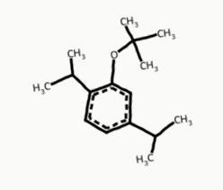 CC(C)c1ccc(C(C)C)c(OC(C)(C)C)c1